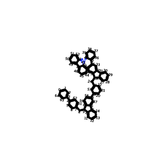 c1ccc(-c2ccc(CC3c4ccccc4-c4cc(-c5cccc(CC6c7ccccc7-c7cc(-c8ccccc8-n8c9ccccc9c9ccccc98)ccc76)c5)ccc43)cc2)cc1